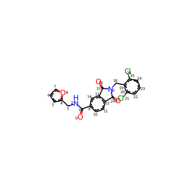 O=C(NCc1ccco1)c1ccc2c(c1)C(=O)N(Cc1c(Cl)cccc1Cl)C2=O